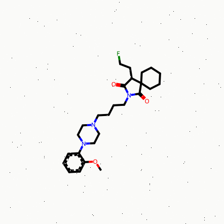 COc1ccccc1N1CCN(CCCCN2C(=O)C(CCF)C3(CCCCC3)C2=O)CC1